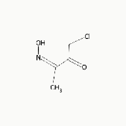 CC(=NO)C(=O)CCl